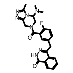 Cc1nnc2n1C(N(C)C)CN(C(=O)c1cc(Cc3n[nH]c(=O)c4ccccc34)ccc1F)C2